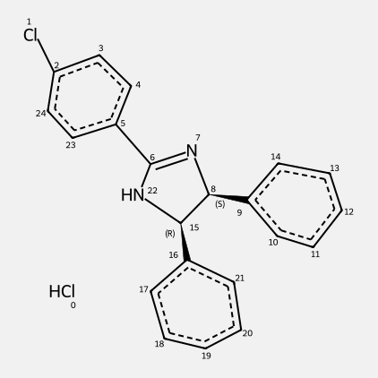 Cl.Clc1ccc(C2=N[C@@H](c3ccccc3)[C@@H](c3ccccc3)N2)cc1